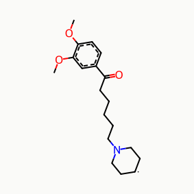 COc1ccc(C(=O)CCCCCN2CC[CH]CC2)cc1OC